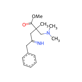 COC(=O)C(C)(CC(=N)Cc1ccccc1)CN(C)C